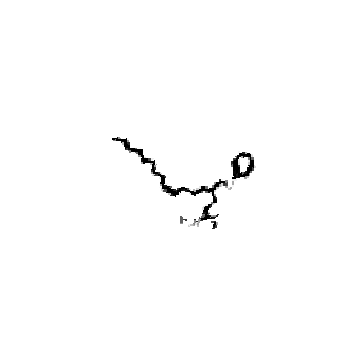 CCCCCCCC/C=C\CCCC(CCC(N)SC)COc1cc[c]cc1